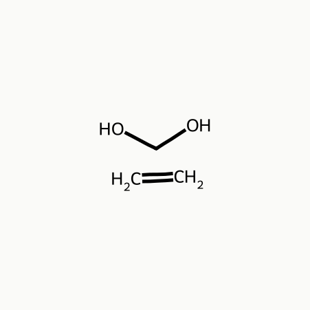 C=C.OCO